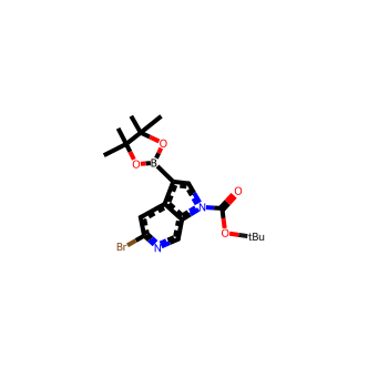 CC(C)(C)OC(=O)n1cc(B2OC(C)(C)C(C)(C)O2)c2cc(Br)ncc21